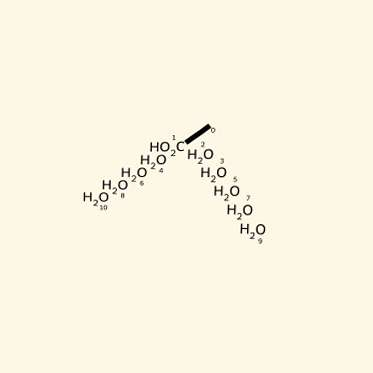 CC(=O)O.O.O.O.O.O.O.O.O.O